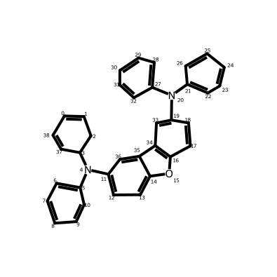 C1=CCC(N(c2ccccc2)c2ccc3oc4ccc(N(c5ccccc5)c5ccccc5)cc4c3c2)C=C1